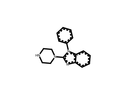 c1ccc(-n2c(N3CCNCC3)nc3ccccc32)cc1